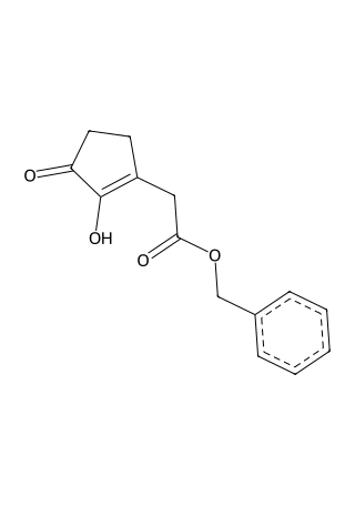 O=C(CC1=C(O)C(=O)CC1)OCc1ccccc1